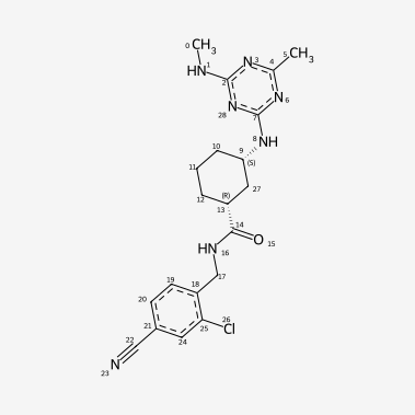 CNc1nc(C)nc(N[C@H]2CCC[C@@H](C(=O)NCc3ccc(C#N)cc3Cl)C2)n1